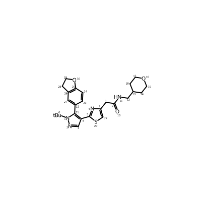 CC(C)(C)n1ncc(-c2nc(CC(=O)NCC3CCOCC3)cs2)c1-c1ccc2c(c1)CCO2